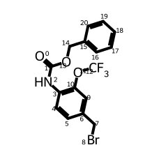 O=C(Nc1ccc(CBr)cc1OC(F)(F)F)OCc1ccccc1